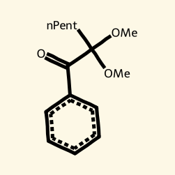 CCCCCC(OC)(OC)C(=O)c1ccccc1